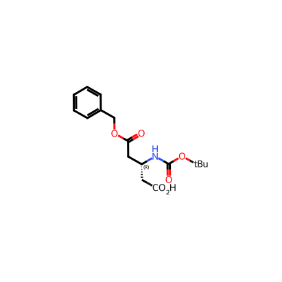 CC(C)(C)OC(=O)N[C@H](CC(=O)O)CC(=O)OCc1ccccc1